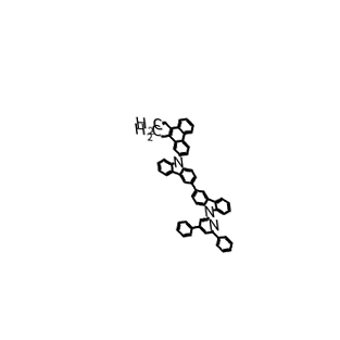 C=Cc1c(C=C)c2cc(-n3c4ccccc4c4cc(-c5ccc6c(c5)c5ccccc5n6-c5cc(-c6ccccc6)cc(-c6ccccc6)n5)ccc43)ccc2c2ccccc12